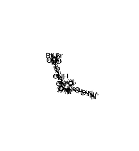 [N-]=[N+]=NCCOCCOCCn1nnc2c1-c1ccccc1CN(C(=O)CCNC(=O)CCOCCCN1C(=O)C(Br)=C(Br)C1=O)c1ccccc1-2